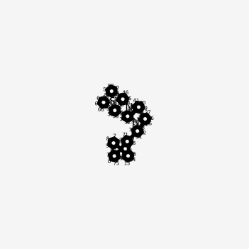 c1ccc(C2(c3ccccc3)c3ccccc3-c3cc(-c4ccc5c6ccccc6n(-c6cccc7c6c6ccccc6n7-c6cccc([Si](c7ccccc7)(c7ccccc7)c7ccccc7)c6)c5c4)ccc32)cc1